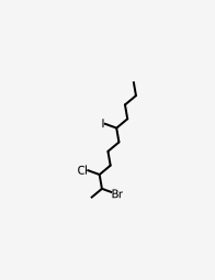 CCCCC(I)CCCC(Cl)C(C)Br